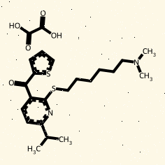 CC(C)c1ccc(C(=O)c2cccs2)c(SCCCCCCN(C)C)n1.O=C(O)C(=O)O